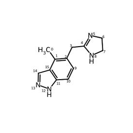 Cc1c(CC2=NCCN2)ccc2[nH]ncc12